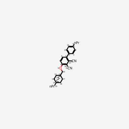 CCCc1ccc(-c2ccc(OCC34CCC(CCC)(CC3)CC4)c(C#N)c2C#N)cc1